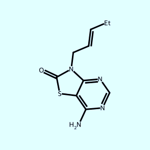 CCC=CCn1c(=O)sc2c(N)ncnc21